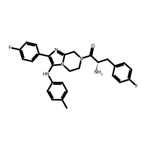 Cc1ccc(Nc2c(-c3ccc(F)cc3)nc3n2CCN(C(=O)[C@@H](N)Cc2ccc(F)cc2)C3)cc1